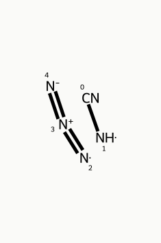 N#C[NH].[N]=[N+]=[N-]